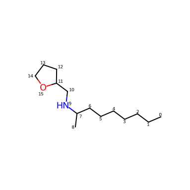 CCCCCCCC(C)NCC1CCCO1